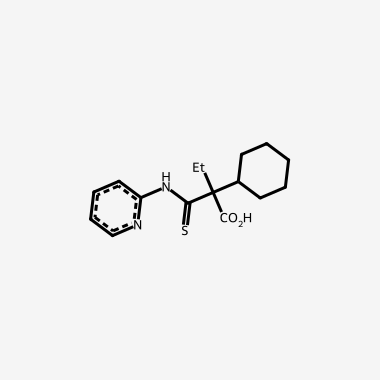 CCC(C(=O)O)(C(=S)Nc1ccccn1)C1CCCCC1